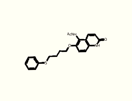 CC(=O)Nc1c(OCCCCSc2ccccc2)ccc2[nH]c(=O)ccc12